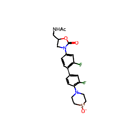 CC(=O)NCC1CN(c2ccc(-c3ccc(N4CC[S+]([O-])CC4)c(F)c3)c(F)c2)C(=O)O1